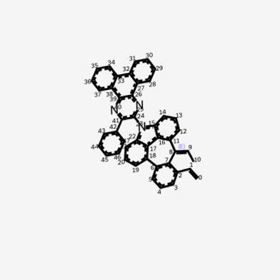 C=Cc1cccc2c1/C(=C\C)c1cccc3c1c1c-2cccc1n3-c1nc2c3ccccc3c3ccccc3c2nc1-c1ccccc1